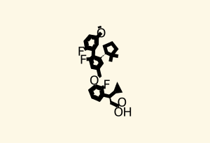 COc1ccc(F)c(-c2c(F)cc(COc3cccc([C@H](CC(=O)O)C4CC4)c3F)cc2[C@@H]2CCCC2(C)C)c1